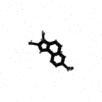 CC[n+]1c(C(C)(C)C)sc2c3ccc(S(=O)(=O)O)cc3ccc21